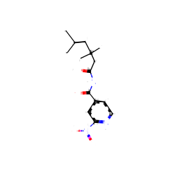 CC(C)CC(C)(C)CC(=O)NC(=O)c1ccnc([N+](=O)[O-])c1